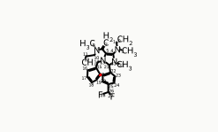 C=CN(C)C1=C(C(=C)N(C)CCC)N(Cc2ccccc2)C(c2ccc(C(F)F)cc2)N1C